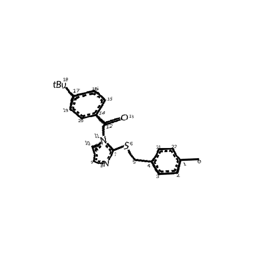 Cc1ccc(CSc2nccn2C(=O)c2ccc(C(C)(C)C)cc2)cc1